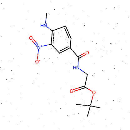 CNc1ccc(C(=O)NCC(=O)OC(C)(C)C)cc1[N+](=O)[O-]